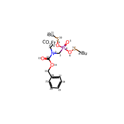 CCOC(=O)CN(CP(=O)(OSC(C)CC)OSC(C)CC)C(=O)OCc1ccccc1